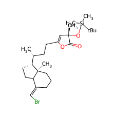 C[C@H](CCC1=C[C@](C)(O[Si](C)(C)C(C)(C)C)C(=O)O1)[C@H]1CCC2/C(=C/Br)CCC[C@@]21C